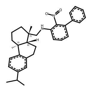 CC(C)c1ccc2c(c1)CC[C@H]1[C@@](C)(CNc3cccc(-c4ccccc4)c3[N+](=O)[O-])CCC[C@]21C